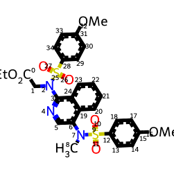 CCOC(=O)CN(c1ncc(N(C)S(=O)(=O)c2ccc(OC)cc2)c2ccccc12)S(=O)(=O)c1ccc(OC)cc1